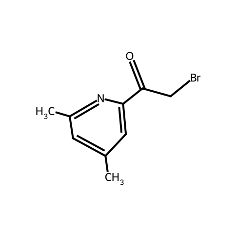 Cc1cc(C)nc(C(=O)CBr)c1